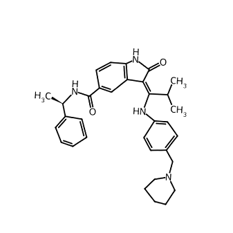 CC(C)C(Nc1ccc(CN2CCCCC2)cc1)=C1C(=O)Nc2ccc(C(=O)N[C@H](C)c3ccccc3)cc21